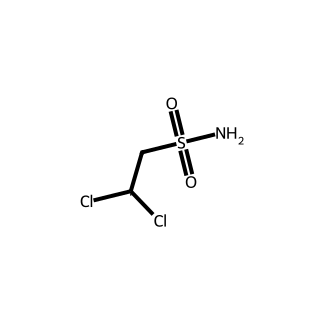 NS(=O)(=O)C[C](Cl)Cl